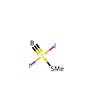 B#S(I)(I)SC